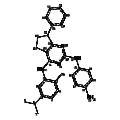 Cc1ccc(C(C)C)cc1Nc1nc(Nc2ccc(N)cc2)nc2c1CCC2c1ccccc1